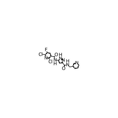 O=C(NCc1cccnc1)c1cc(NC(=O)c2cc(F)c(Cl)nc2Cl)[nH]n1